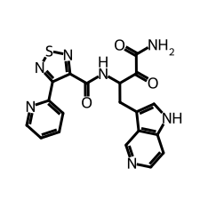 NC(=O)C(=O)C(Cc1c[nH]c2ccncc12)NC(=O)c1nsnc1-c1ccccn1